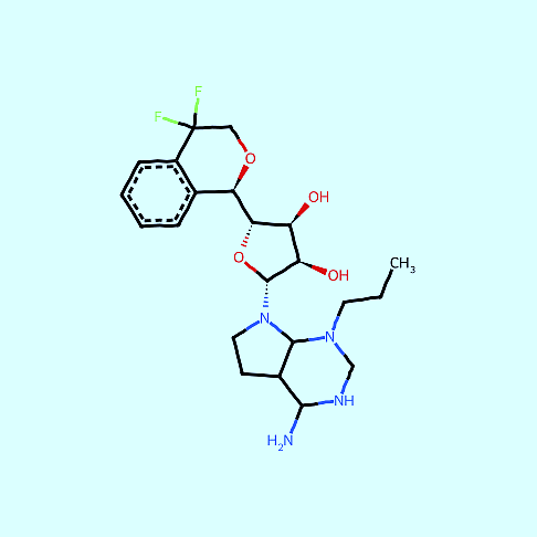 CCCN1CNC(N)C2CCN([C@@H]3O[C@H]([C@@H]4OCC(F)(F)c5ccccc54)[C@@H](O)[C@H]3O)C21